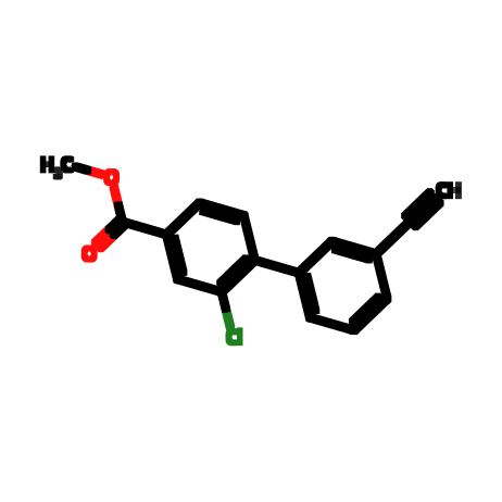 C#Cc1cccc(-c2ccc(C(=O)OC)cc2Cl)c1